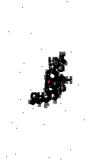 C=C(O)CC[C@@H](C)[C@H]1CC[C@H]2[C@@H]3C(=O)[C@H](O)[C@@H]4C[C@H](OC(=O)NC(C)C)CC[C@]4(C)[C@H]3CC[C@]12C